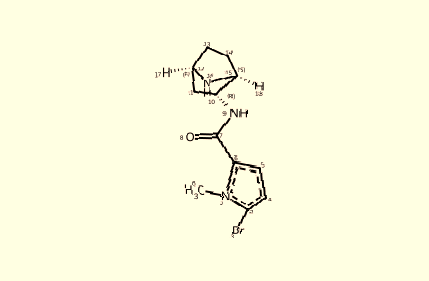 Cn1c(Br)ccc1C(=O)N[C@@H]1C[C@H]2CC[C@@H]1N2